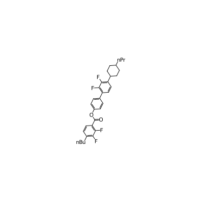 CCCCc1ccc(C(=O)Oc2ccc(-c3ccc(C4CCC(CCC)CC4)c(F)c3F)cc2)c(F)c1F